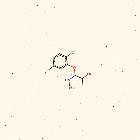 Cc1ccc(Cl)c(OC(NC(C)(C)C)C(C)O)c1